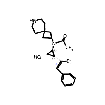 CC/C(=C\c1ccccc1)[C@@H]1C[C@H]1N(C(=O)C(F)(F)F)C1CC2(CCNCC2)C1.Cl